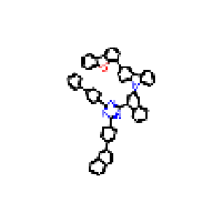 c1ccc(-c2ccc(-c3nc(-c4ccc(-c5ccc6ccccc6c5)cc4)nc(-c4cc(-n5c6ccccc6c6cc(-c7cccc8c7oc7ccccc78)ccc65)cc5ccccc45)n3)cc2)cc1